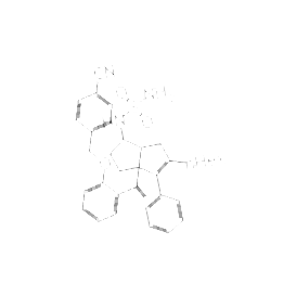 C=C(c1ccccc1OCc1ccc(C#N)cc1)C12CCC(NS(N)(=O)=O)C1CC(CCCCCC)=C2c1ccccc1